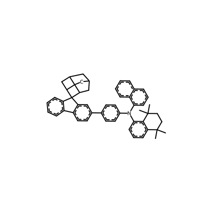 CC1(C)CCC(C)(C)c2c(N(c3ccc(-c4ccc5c(c4)C4(c6ccccc6-5)C5CC6CC7CC4C75C6)cc3)c3cccc4ccccc34)cccc21